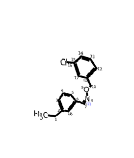 CCc1cccc(/[C]=N\OCc2cccc(Cl)c2)c1